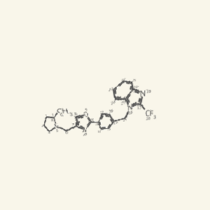 C[C@@H]1CCCN1Cc1coc(-c2ccc(Cn3c(C(F)(F)F)nc4ccccc43)cc2)n1